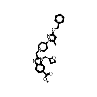 COC(=O)c1ccc2nc(CN3CCC(n4nc(OCc5ccccc5)cc4C)CC3)n(C[C@@H]3CCO3)c2c1